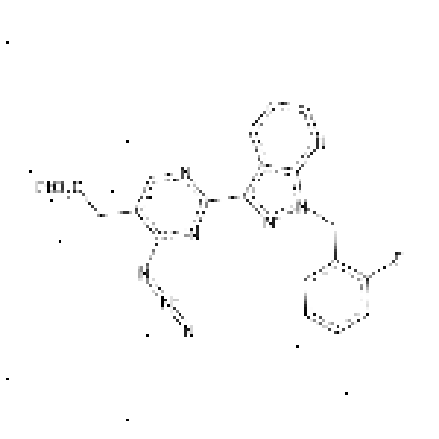 CCOC(=O)Cc1cnc(-c2nn(Cc3ccccc3F)c3ncccc23)nc1N=[N+]=[N-]